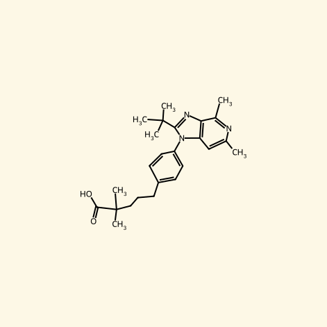 Cc1cc2c(nc(C(C)(C)C)n2-c2ccc(CCCC(C)(C)C(=O)O)cc2)c(C)n1